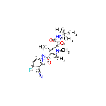 Cc1c(C(=O)Nc2ccc(F)c(C#N)c2)c(C)n(C)c1C(=O)C(=O)NC(C)(C)C